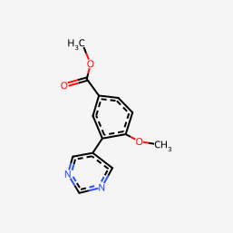 COC(=O)c1ccc(OC)c(-c2cncnc2)c1